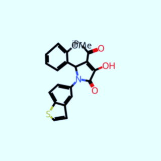 COc1ccccc1C1C(C(=O)C(C)C)=C(O)C(=O)N1c1ccc2sccc2c1